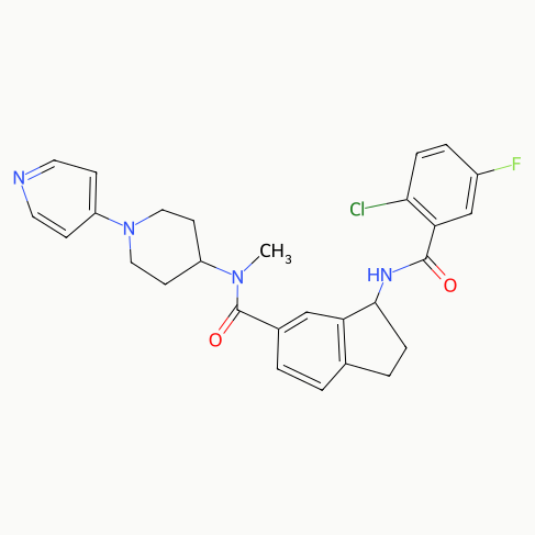 CN(C(=O)c1ccc2c(c1)C(NC(=O)c1cc(F)ccc1Cl)CC2)C1CCN(c2ccncc2)CC1